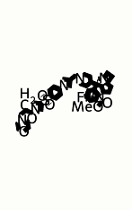 C=C(CN1CCOCC1)C(=O)N1CC(S(=O)(=O)c2ccc(N3CC(CN4CCC([C@](CN5CCC5)(c5cccc(F)c5)[C@H]5CCC[C@@H]5NC(=O)OC)CC4)C3)cc2)C1